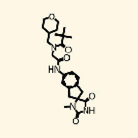 CN1C(=O)NC(=O)C12Cc1ccc(NC(=O)CN(CC3CCOCC3)C(=O)C(C)(C)C)cc1C2